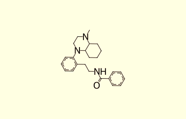 CN1CCN(c2ccccc2CCNC(=O)c2ccccc2)C2CCCCC21